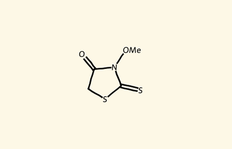 CON1C(=O)CSC1=S